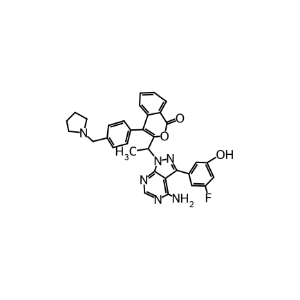 CC(c1oc(=O)c2ccccc2c1-c1ccc(CN2CCCC2)cc1)n1nc(-c2cc(O)cc(F)c2)c2c(N)ncnc21